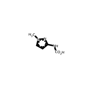 Cn1ccc(NC(=O)O)n1